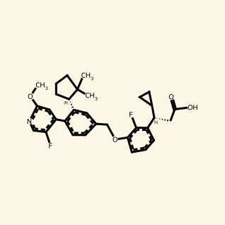 COc1cc(-c2ccc(COc3cccc([C@@H](CC(=O)O)C4CC4)c3F)cc2[C@@H]2CCCC2(C)C)c(F)cn1